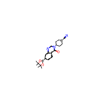 CC1(C)OB(c2ccc3c(=O)n(C4CCB(C#N)CC4)cnc3c2)OC1(C)C